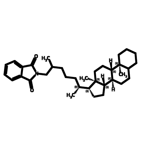 CC(CCC[C@@H](C)[C@H]1CC[C@H]2[C@@H]3CCC4CCCC[C@]4(C)[C@H]3CC[C@]12C)CN1C(=O)c2ccccc2C1=O